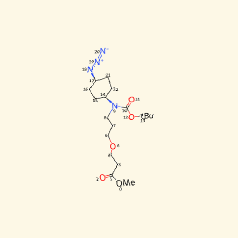 COC(=O)CCOCCCN(C(=O)OC(C)(C)C)[C@H]1CC[C@@H](N=[N+]=[N-])CC1